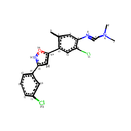 Cc1cc(N=CN(C)C)c(Cl)cc1-c1cc(-c2cccc(Cl)c2)no1